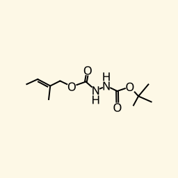 C/C=C(\C)COC(=O)NNC(=O)OC(C)(C)C